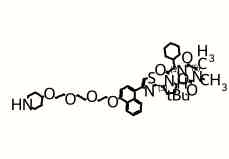 C[C@@H](C(=O)N[C@H](C(=O)N1CCC[C@H]1c1nc(-c2ccc(OCCOCCOCCOC3CCNCC3)c3ccccc23)cs1)C1CCCCC1)N(C)C(=O)OC(C)(C)C